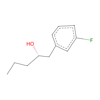 CCC[C@H](O)Cc1cccc(F)c1